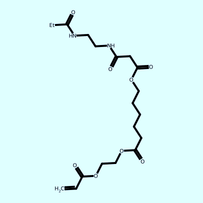 C=CC(=O)OCCOC(=O)CCCCCOC(=O)CC(=O)NCCNC(=O)CC